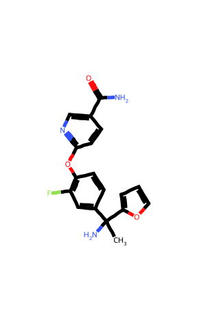 CC(N)(c1ccc(Oc2ccc(C(N)=O)cn2)c(F)c1)c1ccco1